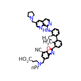 CCCN(CCC(=O)O)Cc1cc(C#N)c2oc(-c3cccc(-c4cccc(Nc5nccc6cc(CN7CCCC7)cnc56)c4C)c3C)nc2c1